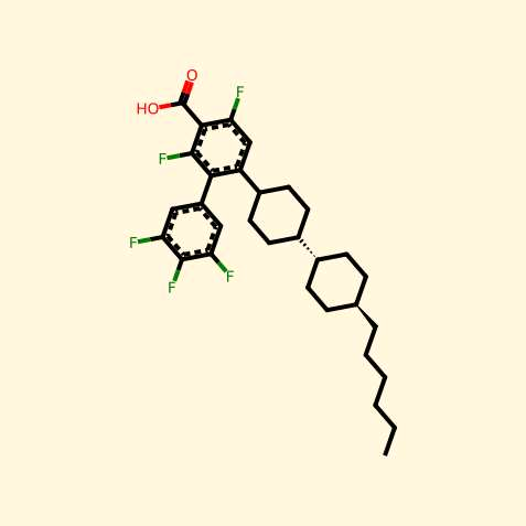 CCCCCC[C@H]1CC[C@H](C2CCC(c3cc(F)c(C(=O)O)c(F)c3-c3cc(F)c(F)c(F)c3)CC2)CC1